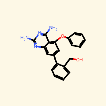 Nc1nc(N)c2c(Oc3ccccc3)cc(-c3ccccc3CO)cc2n1